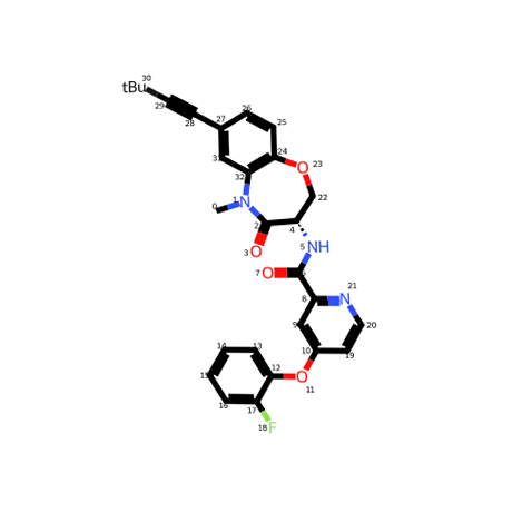 CN1C(=O)[C@@H](NC(=O)c2cc(Oc3ccccc3F)ccn2)COc2ccc(C#CC(C)(C)C)cc21